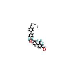 CCC1CCC(c2ccc(C(F)(F)Oc3ccc(-c4ccc(C5CO5)c(F)c4C(F)F)cc3)cc2)CC1